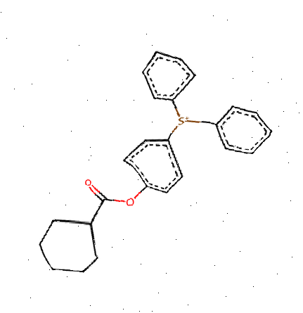 O=C(Oc1ccc([S+](c2ccccc2)c2ccccc2)cc1)C1CCCCC1